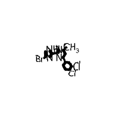 Cc1cc(-c2ccc(Cl)c(Cl)c2)nc(-c2nc(Br)c[nH]2)n1